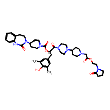 Cc1cc(C[C@@H](OC(=O)N2CCC(N3CCc4ccccc4NC3=O)CC2)C(=O)N2CCN(C3CCN(CC(=O)OCCN4CCCC4=O)CC3)CC2)cc(C)c1O